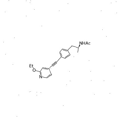 CCOc1cc(C#Cc2ccc(C[C@H](C)NC(C)=O)cc2)ccn1